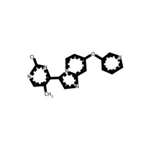 Cc1cnc(Cl)nc1-c1cnc2cc(Oc3cccnc3)ccn12